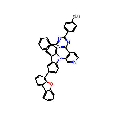 CC(C)(C)c1ccc(-c2nc(-c3ccccc3)nc(-c3ccncc3-n3c4ccccc4c4cc(-c5cccc6c5oc5ccccc56)ccc43)n2)cc1